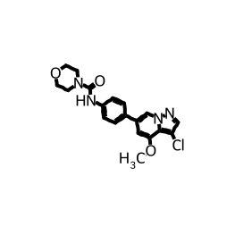 COc1cc(-c2ccc(NC(=O)N3CCOCC3)cc2)cn2ncc(Cl)c12